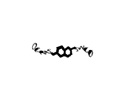 O=C=NSCC1CCC2CC(CSN=C=O)CCC2C1